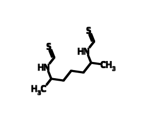 CC(CCCC(C)NC=S)NC=S